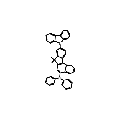 CC1(C)c2cc(-n3c4ccccc4c4ccccc43)ccc2-c2c1cc(N(c1ccccc1)c1ccccc1)c1ccccc21